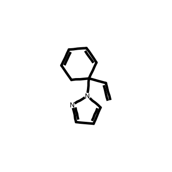 C=CC1(n2cccn2)C=CC=CC1